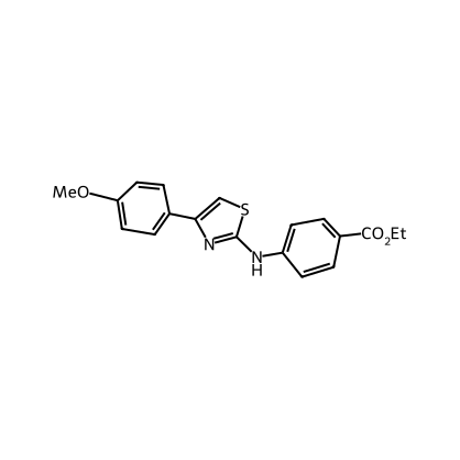 CCOC(=O)c1ccc(Nc2nc(-c3ccc(OC)cc3)cs2)cc1